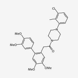 COc1ccc(-c2cc(OC)c(OC)cc2CC(=O)N2CCN(c3cccc(Cl)c3C)CC2)cc1OC